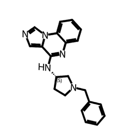 c1ccc(CN2CC[C@H](Nc3nc4ccccc4n4cncc34)C2)cc1